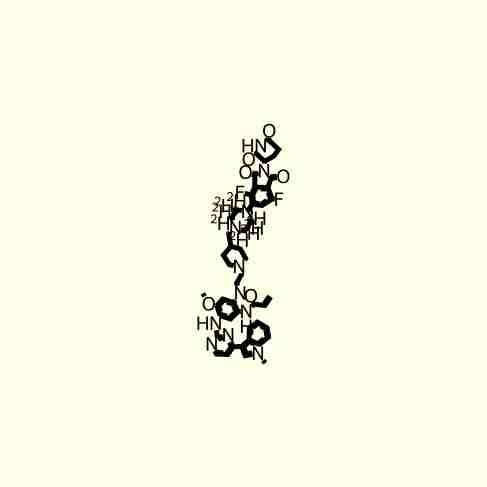 [2H]C1([2H])N(CC2CCN(CCN(C)c3cc(OC)c(Nc4nccc(-c5cn(C)c6ccccc56)n4)cc3NC(=O)C=C)CC2)C([2H])([2H])C([2H])([2H])N(c2cc(F)c3c(c2F)C(=O)N(C2CCC(=O)NC2=O)C3=O)C1([2H])[2H]